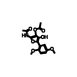 COc1ccc(OC)c(-c2oc(NC(C)=O)c(OC(C)=O)c2O)c1